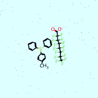 Cc1ccc([S+](c2ccccc2)c2ccccc2)cc1.O=C([O-])C(F)(F)C(F)(F)C(F)(F)C(F)(F)C(F)(F)C(F)(F)C(F)(F)F